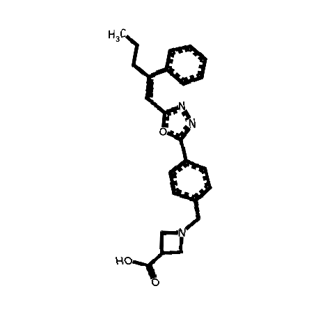 CCCC(=Cc1nnc(-c2ccc(CN3CC(C(=O)O)C3)cc2)o1)c1ccccc1